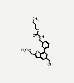 CCCCOC(=O)NCc1cccc(-c2cc(CO)cc3cc(COC)oc23)c1